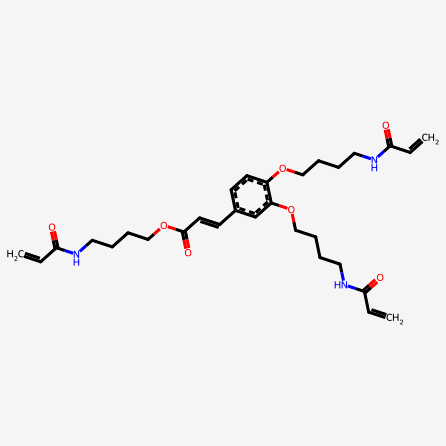 C=CC(=O)NCCCCOC(=O)C=Cc1ccc(OCCCCNC(=O)C=C)c(OCCCCNC(=O)C=C)c1